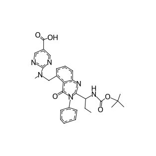 CCC(NC(=O)OC(C)(C)C)c1nc2cccc(CN(C)c3ncc(C(=O)O)cn3)c2c(=O)n1-c1ccccc1